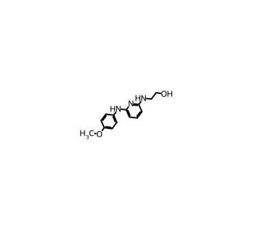 COc1ccc(Nc2cccc(NCCO)n2)cc1